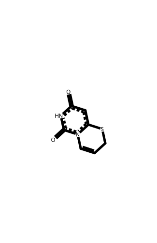 O=c1cc2n(c(=O)[nH]1)C=CCS2